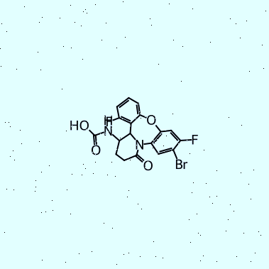 O=C(O)NC1CCC(=O)N2c3cc(Br)c(F)cc3Oc3cccc(F)c3C12